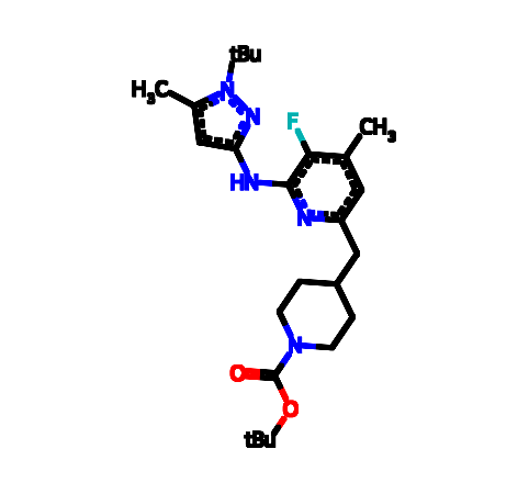 Cc1cc(CC2CCN(C(=O)OC(C)(C)C)CC2)nc(Nc2cc(C)n(C(C)(C)C)n2)c1F